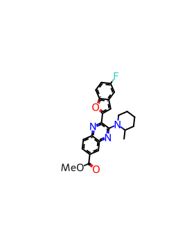 COC(=O)c1ccc2nc(-c3cc4cc(F)ccc4o3)c(N3CCCCC3C)nc2c1